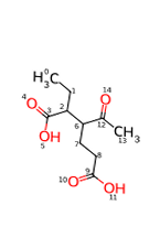 CCC(C(=O)O)C(CCC(=O)O)C(C)=O